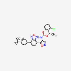 CC(OC(=O)Nc1cnoc1-c1ccc(-c2ccc(C3(C(=O)O)CC3)cc2)c2nonc12)c1ccccc1Cl